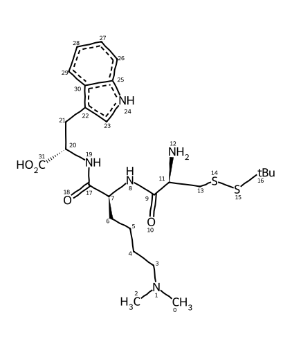 CN(C)CCCC[C@H](NC(=O)[C@@H](N)CSSC(C)(C)C)C(=O)N[C@@H](Cc1c[nH]c2ccccc12)C(=O)O